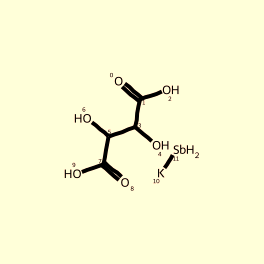 O=C(O)C(O)C(O)C(=O)O.[K][SbH2]